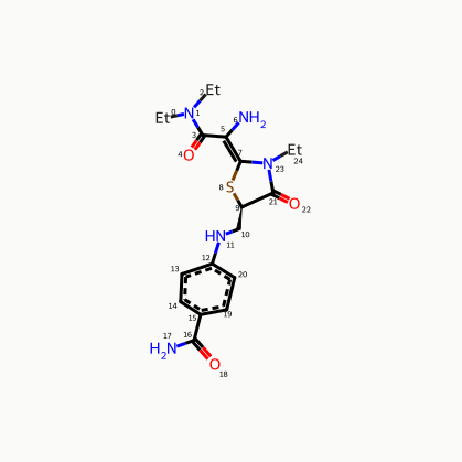 CCN(CC)C(=O)/C(N)=C1\S[C@H](CNc2ccc(C(N)=O)cc2)C(=O)N1CC